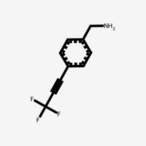 NCc1ccc(C#CC(F)(F)F)cc1